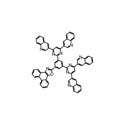 c1ccc2ncc(-c3cc(-c4cnc5ccccc5c4)nc(-c4cc(-c5nc(-c6cnc7ccccc7c6)cc(-c6cnc7ccccc7c6)n5)cc(-c5nc6c7ccccc7c7ccccc7c6o5)c4)n3)cc2c1